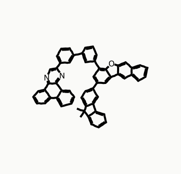 CC1(C)c2ccccc2-c2cc(-c3cc(-c4cccc(-c5cccc(-c6cnc7c8ccccc8c8ccccc8c7n6)c5)c4)c4oc5cc6ccccc6cc5c4c3)ccc21